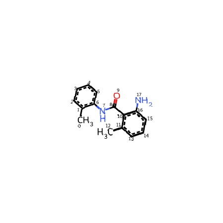 Cc1ccccc1NC(=O)c1c(C)cccc1N